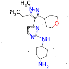 CCc1c(-c2ccnc(NC3CCC(N)CC3)n2)c(C2CCOCC2)nn1C